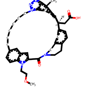 COCCn1c2cc3cc(ccc31)CCCCCCn1nnc3c(C)c(ccc31)[C@@H](CC(=O)O)c1ccc3c(c1)CN(CC3)C2=O